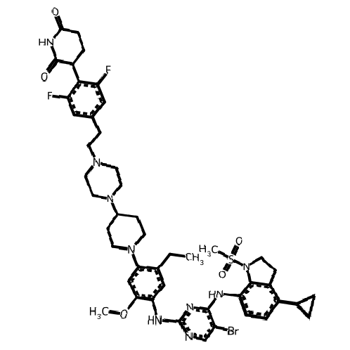 CCc1cc(Nc2ncc(Br)c(Nc3ccc(C4CC4)c4c3N(S(C)(=O)=O)CC4)n2)c(OC)cc1N1CCC(N2CCN(CCc3cc(F)c(C4CCC(=O)NC4=O)c(F)c3)CC2)CC1